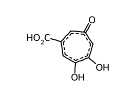 O=C(O)c1cc(O)c(O)cc(=O)c1